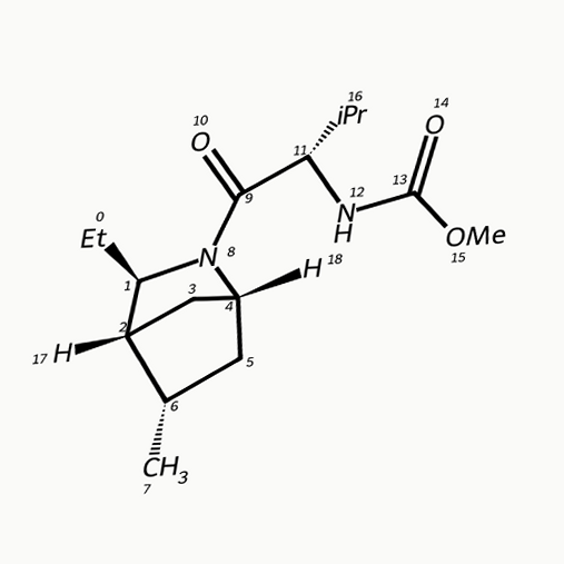 CC[C@@H]1[C@@H]2C[C@@H](C[C@@H]2C)N1C(=O)[C@@H](NC(=O)OC)C(C)C